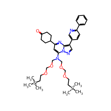 C[Si](C)(C)CCOCOCN(COCOCC[Si](C)(C)C)c1cc(C2CCC(=O)CC2)nc2c(-c3ccc(-c4ccccc4)nc3)cnn12